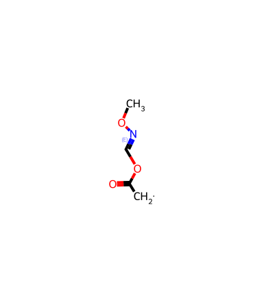 [CH2]C(=O)O/C=N/OC